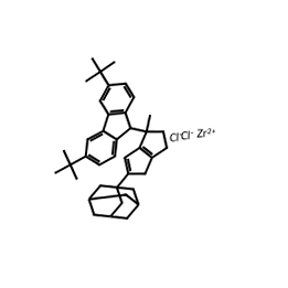 CC(C)(C)c1ccc2c(c1)-c1cc(C(C)(C)C)ccc1C2C1(C)CCC2=C1C=C(C13CC4CC(CC(C4)C1)C3)C2.[Cl-].[Cl-].[Zr+2]